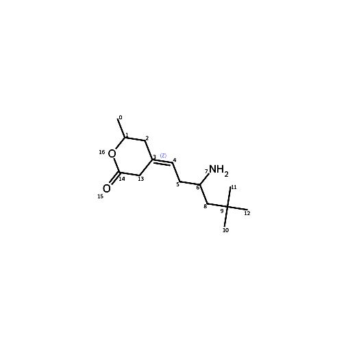 CC1C/C(=C/CC(N)CC(C)(C)C)CC(=O)O1